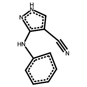 N#Cc1c[nH]nc1Nc1ccccc1